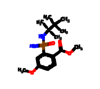 COC(=O)c1ccc(OC)cc1S(=N)(=O)N[Si](C)(C)C(C)(C)C